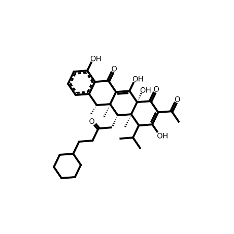 CC(=O)C1=C(O)C(C(C)C)[C@@]2(C)[C@H](CC(=O)CCC3CCCCC3)[C@]3(C)C(=C(O)[C@@]2(O)C1=O)C(=O)c1c(O)cccc1[C@H]3C